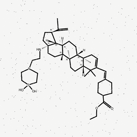 C=C(C)[C@@H]1CC[C@]2(NCCN3CCS(O)(O)CC3)CC[C@]3(C)[C@H](CC[C@@H]4[C@@]5(C)CC=C(C=C6CCC(C(=O)OCC)CC6)C(C)(C)[C@@H]5CC[C@]43C)[C@@H]12